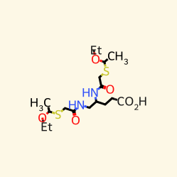 CCOC(C)SCC(=O)NCC(CCC(=O)O)NC(=O)CSC(C)OCC